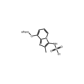 CCCCCOc1cccn2c(NS(=O)(=O)CC)c(C)nc12